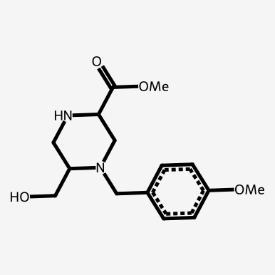 COC(=O)C1CN(Cc2ccc(OC)cc2)C(CO)CN1